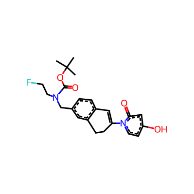 CC(C)(C)OC(=O)N(CCF)Cc1ccc2c(c1)CCC(n1ccc(O)cc1=O)=C2